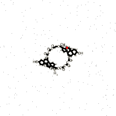 C[C@@H]1CCC(=O)CC(=O)CC(=O)C[C@H]2CC3C[C@H](O)CC[C@]3(C)[C@H]3CC[C@]4(C)[C@H](CC[C@H]4C23)[C@H](C)CCC(=O)CC(=O)CC(=O)C[C@H]2CC3C[C@H](O)CC[C@]3(C)C3CC[C@]4(C)[C@@H]1CC[C@H]4C32